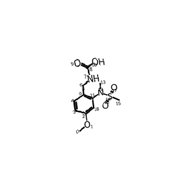 COc1ccc(CNC(=O)O)c(N(C)S(C)(=O)=O)c1